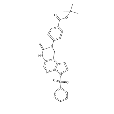 CC(C)(C)OC(=O)c1ccc(N2Cc3c(cnc4c3ccn4S(=O)(=O)c3ccccc3)NC2=O)cc1